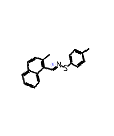 Cc1ccc(S/N=C/c2c(C)ccc3ccccc23)cc1